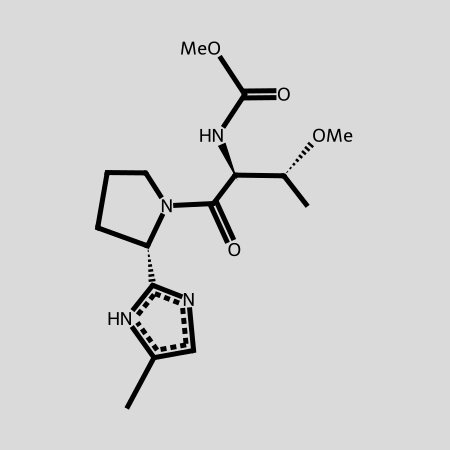 COC(=O)N[C@H](C(=O)N1CCC[C@H]1c1ncc(C)[nH]1)[C@@H](C)OC